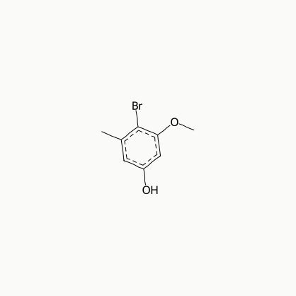 COc1cc(O)cc(C)c1Br